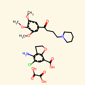 COc1cc(C(=O)CCCN2CC[CH]CC2)cc(OC)c1OC.Nc1c(Cl)cc(C(=O)O)c2c1CCO2.O=C(O)C(=O)O